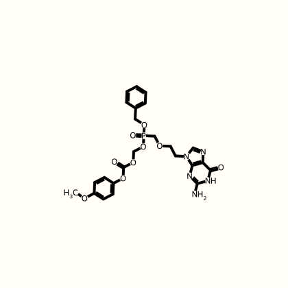 COc1ccc(OC(=O)OCOP(=O)(COCCn2cnc3c(=O)[nH]c(N)nc32)OCc2ccccc2)cc1